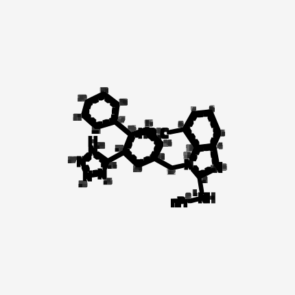 CCCNc1nc2cccc(C(=O)O)c2n1Cc1ccc(-c2ccccc2)c(-c2nnn[nH]2)c1